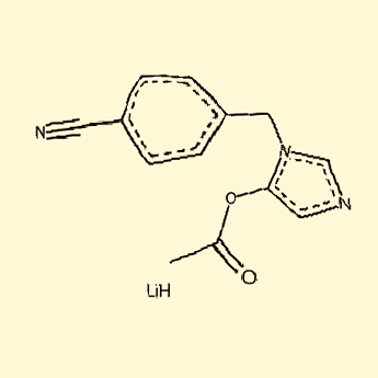 CC(=O)Oc1cncn1Cc1ccc(C#N)cc1.[LiH]